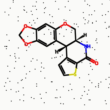 O=C1N[C@@H]2COc3cc4c(cc3[C@H]2c2ccsc21)OCO4